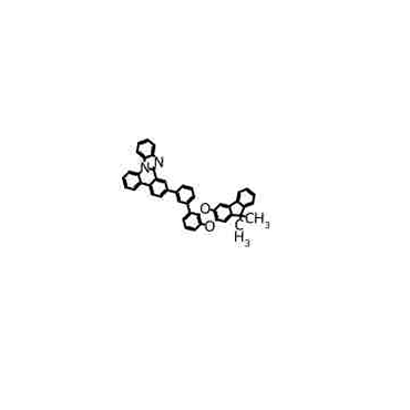 CC1(C)c2ccccc2-c2cc3c(cc21)Oc1cccc(-c2cccc(-c4ccc5c6ccccc6n6c7ccccc7nc6c5c4)c2)c1O3